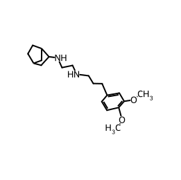 COc1ccc(CCCNCCNC2CC3CCC2C3)cc1OC